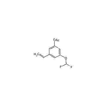 C=[C]c1cc(OC(C)=O)cc(OC(F)F)c1